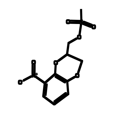 CS(=O)(=O)OCC1COc2cccc([N+](=O)[O-])c2O1